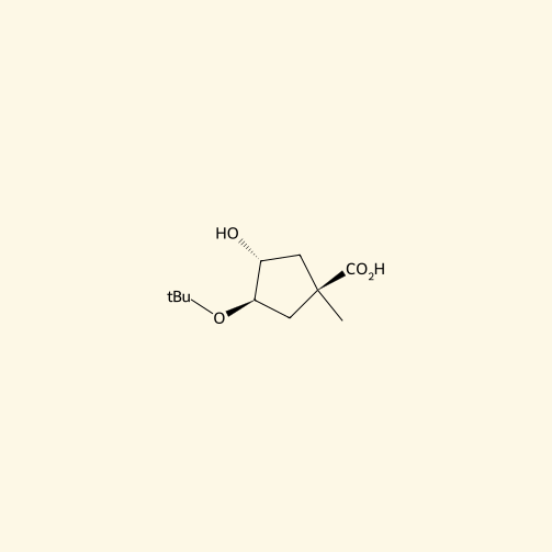 CC(C)(C)O[C@@H]1C[C@](C)(C(=O)O)C[C@H]1O